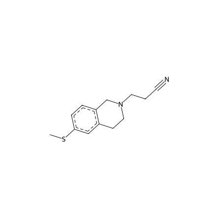 CSc1ccc2c(c1)CCN(CCC#N)C2